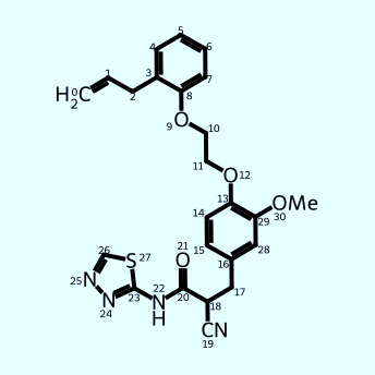 C=CCc1ccccc1OCCOc1ccc(CC(C#N)C(=O)Nc2nncs2)cc1OC